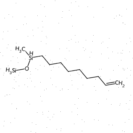 C=CCCCCCCC[SiH](C)O[SiH3]